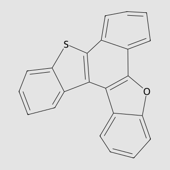 c1ccc2c(c1)oc1c3ccccc3c3sc4ccccc4c3c21